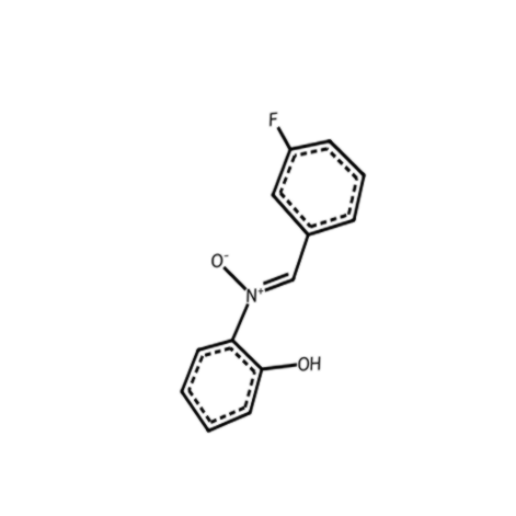 [O-][N+](=Cc1cccc(F)c1)c1ccccc1O